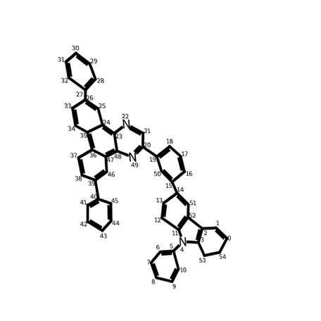 C1=Cc2c(n(-c3ccccc3)c3ccc(-c4cccc(-c5cnc6c7cc(-c8ccccc8)ccc7c7ccc(-c8ccccc8)cc7c6n5)c4)cc23)CC1